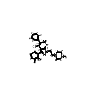 Cc1cccc(-c2nn(CCN3CCN(C)CC3)c3nnc(-c4ccccc4)c(Cl)c23)c1F